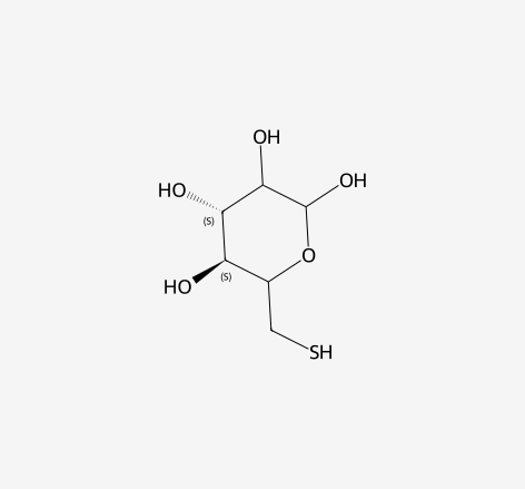 OC1OC(CS)[C@@H](O)[C@H](O)C1O